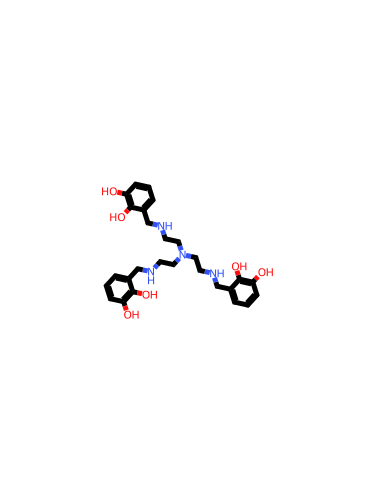 Oc1cccc(CNCCN(CCNCc2cccc(O)c2O)CCNCc2cccc(O)c2O)c1O